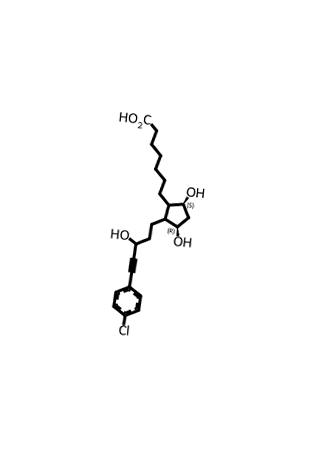 O=C(O)CCCCCCC1C(CCC(O)C#Cc2ccc(Cl)cc2)[C@H](O)C[C@@H]1O